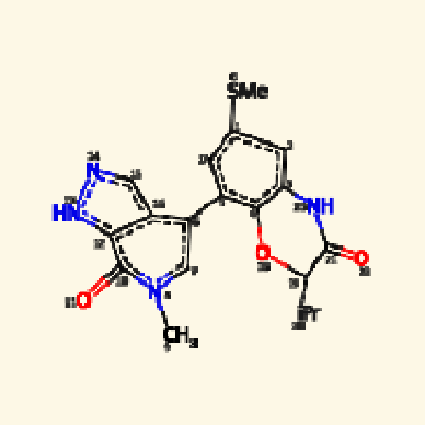 CSc1cc2c(c(-c3cn(C)c(=O)c4[nH]ncc34)c1)OC(C(C)C)C(=O)N2